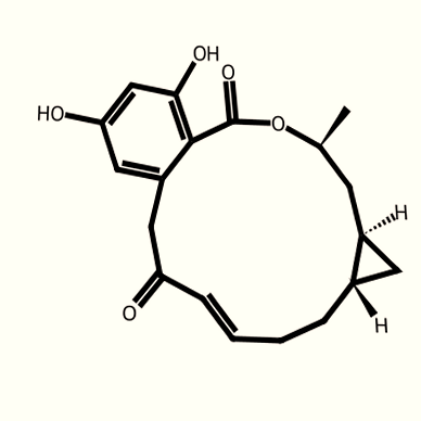 C[C@H]1C[C@H]2C[C@@H]2CC/C=C/C(=O)Cc2cc(O)cc(O)c2C(=O)O1